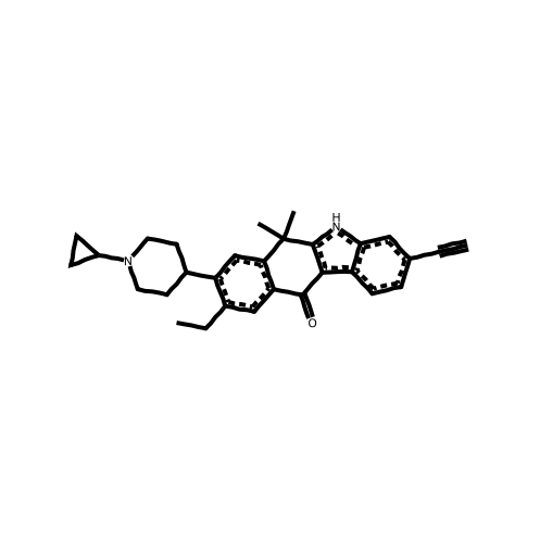 C#Cc1ccc2c3c([nH]c2c1)C(C)(C)c1cc(C2CCN(C4CC4)CC2)c(CC)cc1C3=O